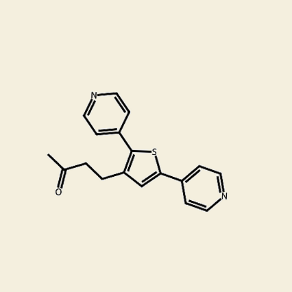 CC(=O)CCc1cc(-c2ccncc2)sc1-c1ccncc1